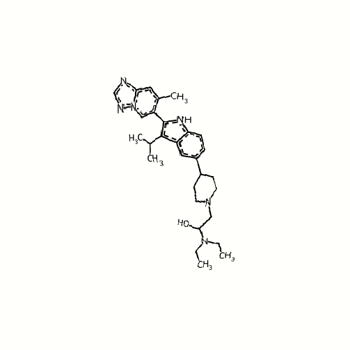 CCN(CC)C(O)CN1CCC(c2ccc3[nH]c(-c4cn5ncnc5cc4C)c(C(C)C)c3c2)CC1